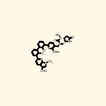 COc1nc(-c2cccc(-c3cccc(-c4ccc5c(C=O)cn(C)c5n4)c3Cl)c2Cl)ccc1CN(C[C@@H]1CCC(=O)N1)C(=O)OC(C)(C)C